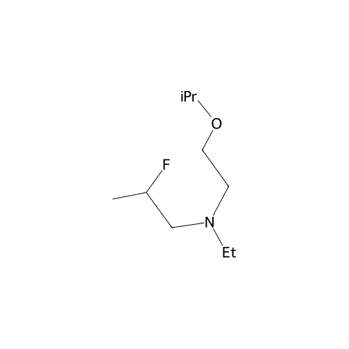 CCN(CCOC(C)C)CC(C)F